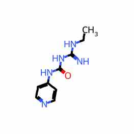 CCNC(=N)NC(=O)Nc1ccncc1